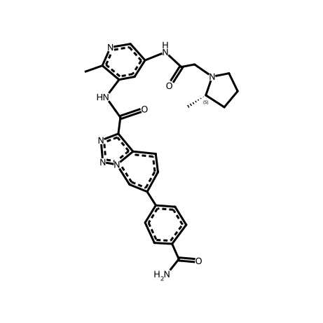 Cc1ncc(NC(=O)CN2CCC[C@@H]2C)cc1NC(=O)c1nnn2cc(-c3ccc(C(N)=O)cc3)ccc12